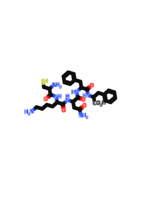 NCCCCC(NC(=O)C(N)CS)C(=O)NC(CC(N)=O)C(=O)NC(Cc1ccccc1)C(=O)NC(Cc1ccccc1)C(=O)O